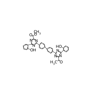 COC(=O)c1nc(-c2ccc(-c3ccc(-c4nc(C(C)=O)nc(-c5ccccc5O)n4)cc3)cc2)nc(-c2ccccc2O)n1